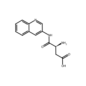 N[C@@H](CC(=O)O)C(=O)Nc1cnc2ccccc2c1